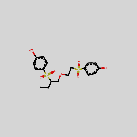 CCC(COCCS(=O)(=O)c1ccc(O)cc1)S(=O)(=O)c1ccc(O)cc1